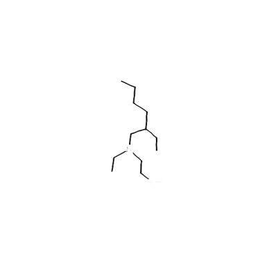 CCCCC(CC)CN(CC)CCO